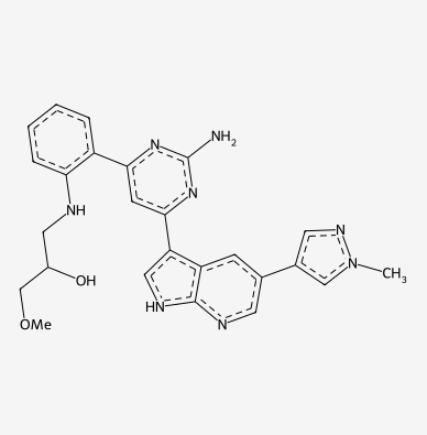 COCC(O)CNc1ccccc1-c1cc(-c2c[nH]c3ncc(-c4cnn(C)c4)cc23)nc(N)n1